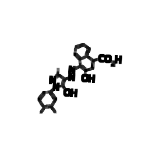 Cc1ccc(-n2nc(C)c(N=Nc3c(O)cc(C(=O)O)c4ccccc34)c2O)cc1C